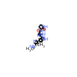 CCNCc1cncc(-c2ccc3[nH]nc(-c4ncc(C(=O)N[C@H]5CCCCNC5=O)[nH]4)c3c2)c1C